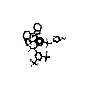 C[C@H]([c-]1cccc1-c1ccccc1P(C1CCCCC1)C1CCCCC1)P(c1cc(C(F)(F)F)cc(C(F)(F)F)c1)c1cc(C(F)(F)F)cc(C(F)(F)F)c1.[Fe+2].c1cc[cH-]c1